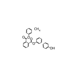 C.O=C(Oc1ccccc1)c1ccccc1C(=O)Oc1ccccc1.Oc1ccccc1